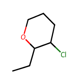 CCC1OCCCC1Cl